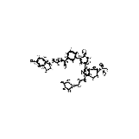 CS(=O)(=O)N1CCc2c(c(-c3ccc(Cl)c(-c4cccc(C(=O)NCCN5CCc6cc(F)ccc65)c4)c3)nn2CCCN2CCCC2)C1